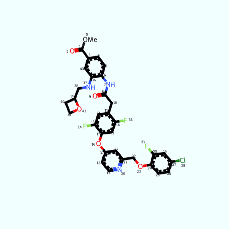 COC(=O)c1ccc(NC(=O)Cc2cc(F)c(Oc3ccnc(COc4ccc(Cl)cc4F)c3)cc2F)c(NCC2CCO2)c1